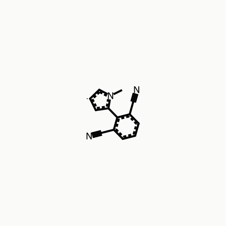 Cn1c[c]cc1-c1c(C#N)cccc1C#N